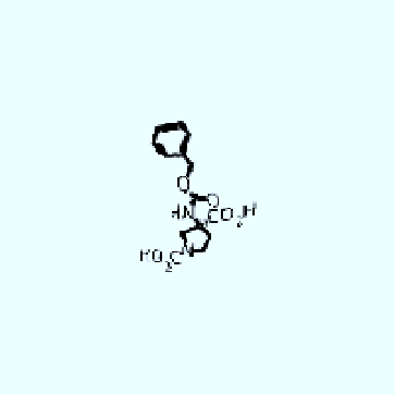 O=C(N[C@@]1(C(=O)O)CCN(C(=O)O)C1)OCc1ccccc1